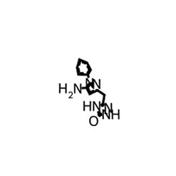 Nc1cc(Cc2n[nH]c(=O)[nH]2)nn1-c1ccccc1